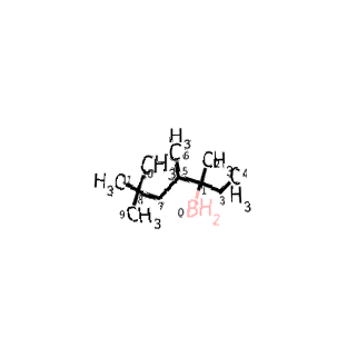 BC(C)(CC)C(C)CC(C)(C)C